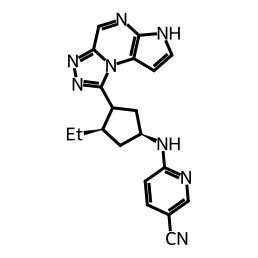 CC[C@@H]1C[C@H](Nc2ccc(C#N)cn2)CC1c1nnc2cnc3[nH]ccc3n12